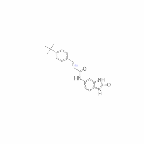 CC(C)(C)c1ccc(/C=C/C(=O)Nc2ccc3[nH]c(=O)[nH]c3c2)cc1